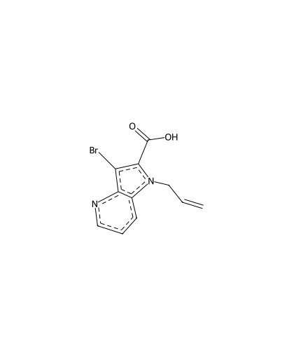 C=CCn1c(C(=O)O)c(Br)c2ncccc21